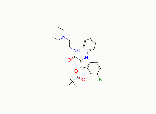 CCN(CC)CCNC(=O)c1c(OC(=O)C(C)(C)C)c2cc(Br)ccc2n1-c1ccccc1